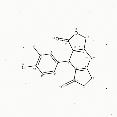 Cc1cc(C2C3=C(CCC3=O)NC3=C2C(=O)OC3)ccc1Cl